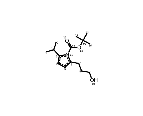 CC(C)c1ccc(CCCO)n1C(=O)OC(C)(C)C